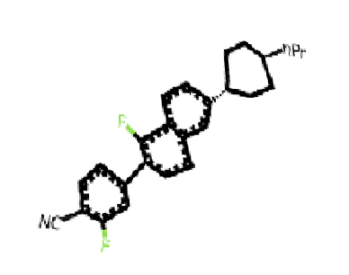 CCC[C@H]1CC[C@H](c2ccc3c(F)c(-c4ccc(C#N)c(F)c4)ccc3c2)CC1